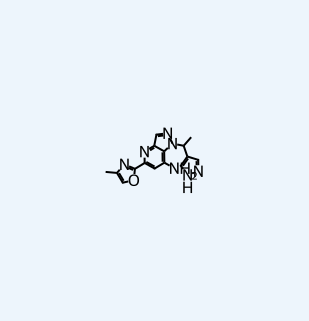 Cc1coc(-c2cc(N)c3c(cnn3C(C)c3cn[nH]c3)n2)n1